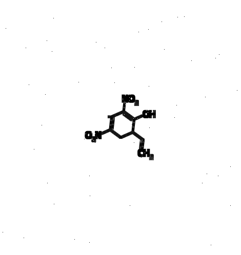 C=CC1CC([N+](=O)[O-])=[C]C([N+](=O)[O-])=C1O